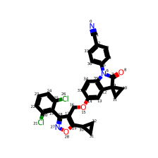 N#Cc1ccc(N2C(=O)C3(CC3)c3cc(OCc4c(-c5c(Cl)cccc5Cl)noc4C4CC4)ccc32)cc1